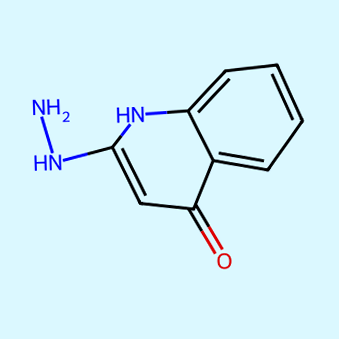 NNc1cc(=O)c2ccccc2[nH]1